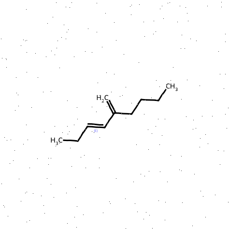 C=C(/C=C/CC)CCCC